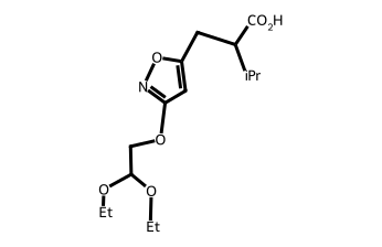 CCOC(COc1cc(CC(C(=O)O)C(C)C)on1)OCC